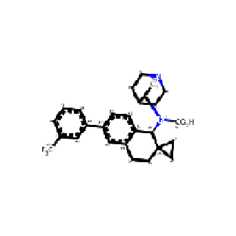 O=C(O)N(C1CN2CCC1CC2)[C@@H]1c2ccc(-c3cccc(C(F)(F)F)c3)cc2CCC12CC2